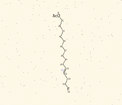 CC(=O)OCCCCCCCCCC/C=C/CCF